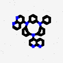 c1ccc(N2c3cccc(c3)N(c3ccnc4ncccc34)c3cccc(c3)N(c3ccnc4ncccc34)c3cccc2c3)cc1